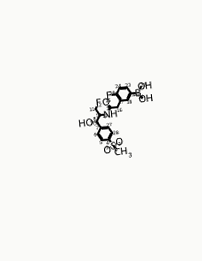 CS(=O)(=O)c1ccc([C@H](O)C(CF)NC(=O)Cc2cc(B(O)O)ccc2F)cc1